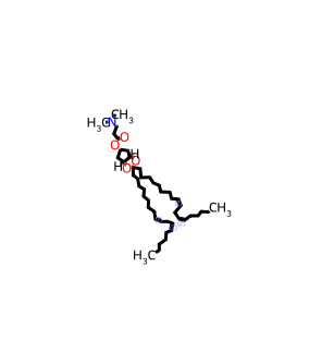 CCCCC/C=C\C/C=C\CCCCCCCCC1(CCCCCCCC/C=C\C/C=C\CCCCC)O[C@H]2CC(OC(=O)CCN(C)C)C[C@H]2O1